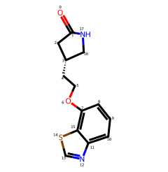 O=C1C[C@@H](CCOc2c[c]cc3ncsc23)CN1